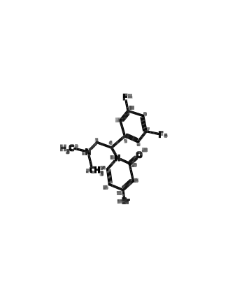 CN(C)CC(c1cc(F)cc(F)c1)n1ccc(Br)cc1=O